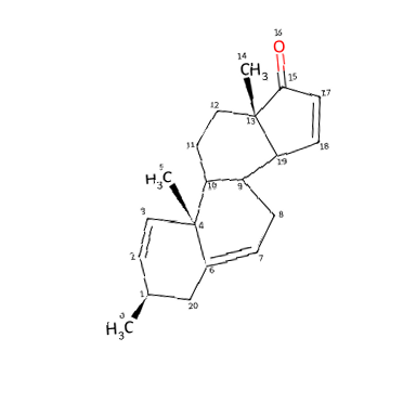 C[C@H]1C=C[C@@]2(C)C(=CCC3C2CC[C@]2(C)C(=O)C=CC32)C1